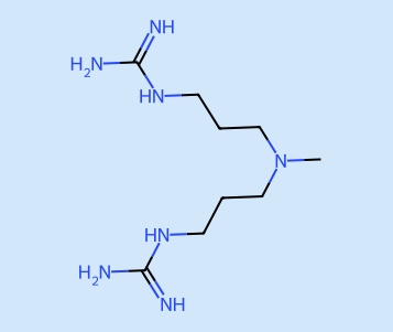 CN(CCCNC(=N)N)CCCNC(=N)N